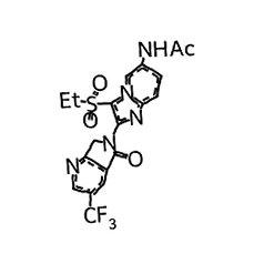 CCS(=O)(=O)c1c(N2Cc3ncc(C(F)(F)F)cc3C2=O)nc2ccc(NC(C)=O)cn12